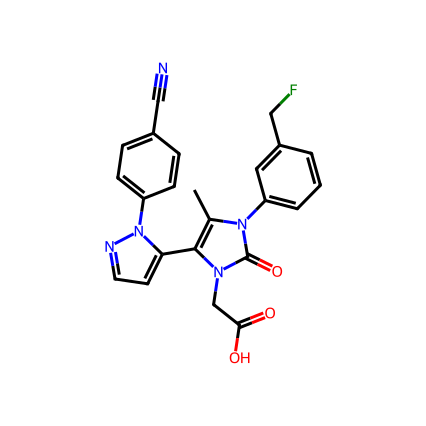 Cc1c(-c2ccnn2-c2ccc(C#N)cc2)n(CC(=O)O)c(=O)n1-c1cccc(CF)c1